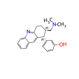 CN(C)C[C@@H]1CCc2nc3ccccc3cc2[C@H]1c1cccc(O)c1